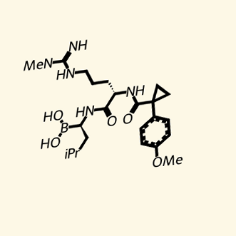 CNC(=N)NCCC[C@H](NC(=O)C1(c2ccc(OC)cc2)CC1)C(=O)N[C@@H](CC(C)C)B(O)O